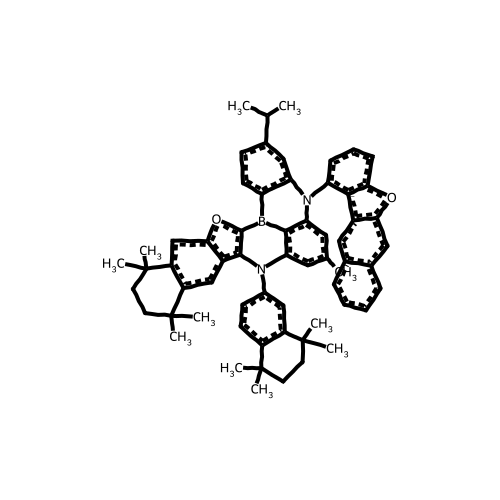 Cc1cc2c3c(c1)N(c1cccc4oc5cc6ccccc6cc5c14)c1cc(C(C)C)ccc1B3c1oc3cc4c(cc3c1N2c1ccc2c(c1)C(C)(C)CCC2(C)C)C(C)(C)CCC4(C)C